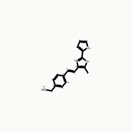 Cc1oc(-c2ccco2)nc1C=Cc1ccc(CO)cc1